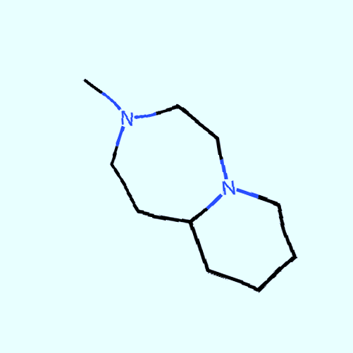 CN1CCC2CCCCN2CC1